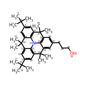 CC(C)(C)c1cc2c3c(c1)C(C)(C)c1cc(C(C)(C)C)cc4c1N3c1c(cc(CCCO)cc1C4(C)C)C2(C)C